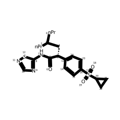 CCCC(CCC)C[C@@H](C(=O)Nc1ncns1)c1ccc(S(=O)(=O)C2CC2)cc1